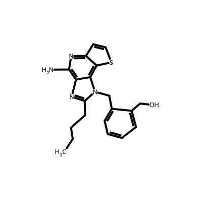 CCCCc1nc2c(N)nc3ccsc3c2n1Cc1ccccc1CO